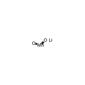 [Li].[O]=[Mn]=[O]